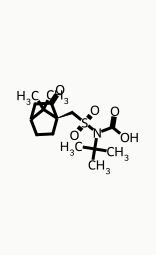 CC(C)(C)N(C(=O)O)S(=O)(=O)C[C@]12CCC(CC1=O)C2(C)C